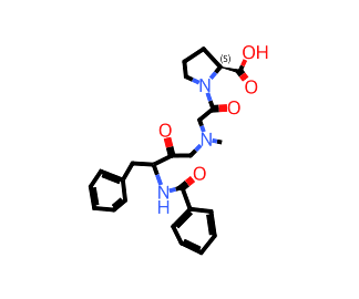 CN(CC(=O)C(Cc1ccccc1)NC(=O)c1ccccc1)CC(=O)N1CCC[C@H]1C(=O)O